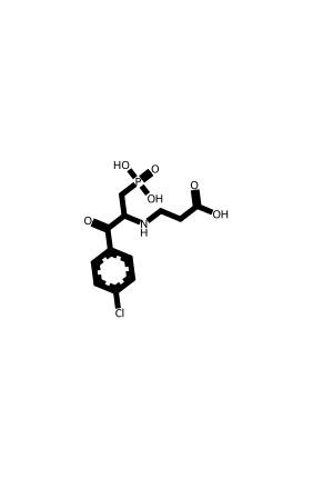 O=C(O)CCNC(CP(=O)(O)O)C(=O)c1ccc(Cl)cc1